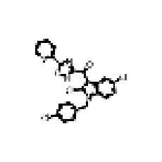 O=C(c1noc(-c2ccccn2)n1)c1c(Cl)n(Cc2ccc(Cl)cc2)c2ccc(Cl)cc12